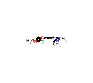 CCc1nc(C)cn1CCCCCCOc1ccc(OC)cc1Cl